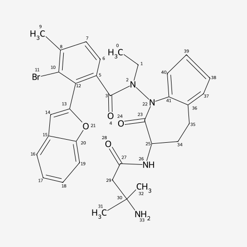 CCN(C(=O)c1ccc(C)c(Br)c1-c1cc2ccccc2o1)N1C(=O)C(NC(=O)CC(C)(C)N)CCc2ccccc21